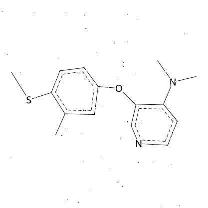 CSc1ccc(Oc2cnccc2N(C)C)cc1C